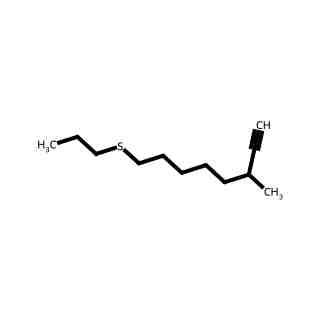 C#CC(C)CCCCCS[CH]CC